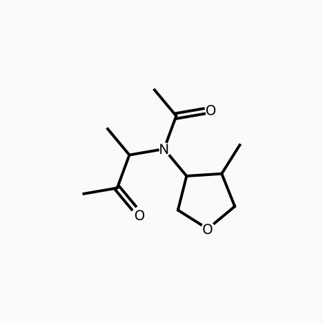 CC(=O)C(C)N(C(C)=O)C1COCC1C